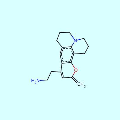 C=C1C=C(CCN)c2cc3c4c(c2O1)CCCN4CCC3